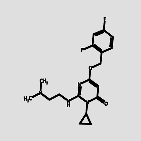 CN(C)CCNc1nc(OCc2ccc(F)cc2F)cc(=O)n1C1CC1